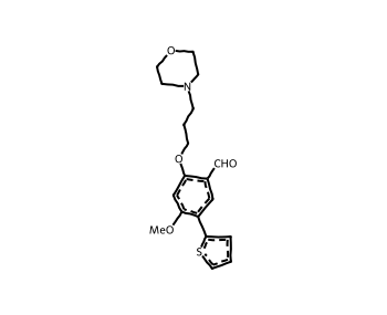 COc1cc(OCCCN2CCOCC2)c(C=O)cc1-c1cccs1